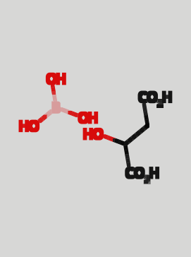 O=C(O)CC(O)C(=O)O.OB(O)O